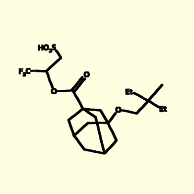 CCC(C)(CC)COC12CC3CC(C1)CC(C(=O)OC(CS(=O)(=O)O)C(F)(F)F)(C3)C2